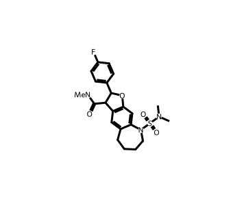 CNC(=O)C1c2cc3c(cc2OC1c1ccc(F)cc1)N(S(=O)(=O)N(C)C)CCCC3